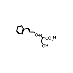 O=C(O)C(CO)=NOCC=Cc1ccccc1